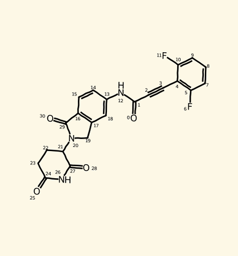 O=C(C#Cc1c(F)cccc1F)Nc1ccc2c(c1)CN(C1CCC(=O)NC1=O)C2=O